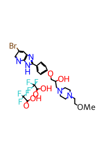 COCCN1CCN(CC(O)COc2ccc(-c3nc4cc(Br)cnc4[nH]3)cc2)CC1.O=C(O)C(F)(F)F.O=C(O)C(F)(F)F